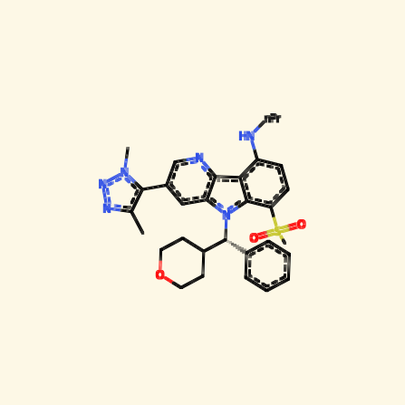 CCCNc1ccc(S(C)(=O)=O)c2c1c1ncc(-c3c(C)nnn3C)cc1n2[C@H](c1ccccc1)C1CCOCC1